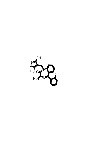 Cc1noc(C)c1CN1C(=O)C(N)N=C(c2ccccc2F)c2ccccc21